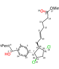 CCCCCC(O)c1ccc([C@@H]2[C@@H](CC=CCCCC(=O)OC)[C@H](Cl)C[C@H]2Cl)cc1